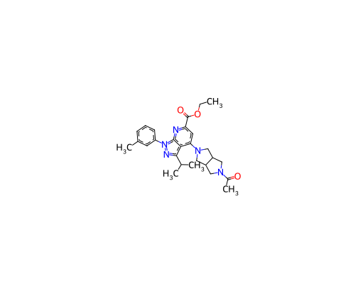 CCOC(=O)c1cc(N2CC3CN(C(C)=O)CC3C2)c2c(C(C)C)nn(-c3cccc(C)c3)c2n1